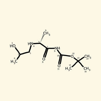 CC(O)CN[C@H](C)C(=O)NC(=O)OC(C)(C)C